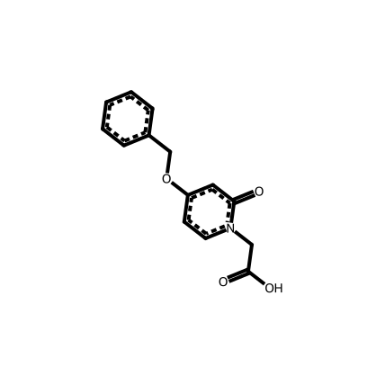 O=C(O)Cn1ccc(OCc2ccccc2)cc1=O